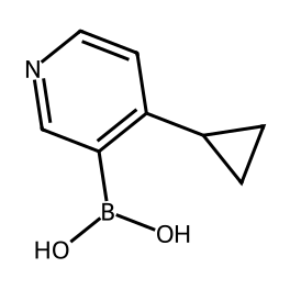 OB(O)c1cnccc1C1CC1